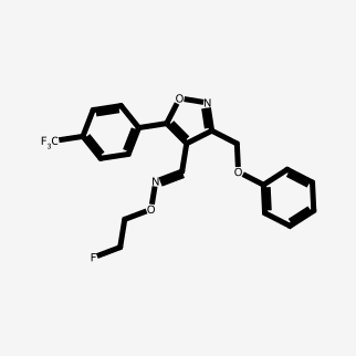 FCCON=Cc1c(COc2c[c]ccc2)noc1-c1ccc(C(F)(F)F)cc1